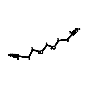 N#CCCOCOCCC#N